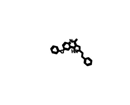 Cc1nc2ccc(Oc3ccccc3)cc2c2c1CC(CCc1ccccc1)N2